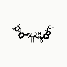 C[C@@H]1CN(c2cccc(-c3csc(NC(=O)CNC(=O)c4ccc5c(c4)[C@](C)(CO)CC5)n3)c2)C[C@H](C)O1